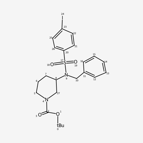 CC(C)(C)OC(=O)N1CCCC(N(Cc2ccccc2)S(=O)(=O)c2ccc(I)cc2)C1